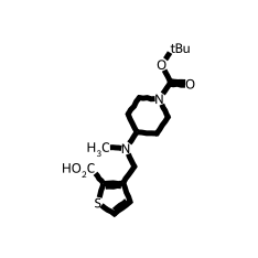 CN(Cc1ccsc1C(=O)O)C1CCN(C(=O)OC(C)(C)C)CC1